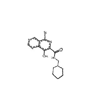 O=C(NCC1CCCCC1)c1nc(Br)c2cncnc2c1O